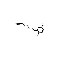 [C]#CCCCCCCc1cc(C)ccc1C